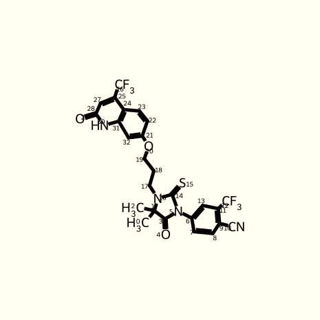 CC1(C)C(=O)N(c2ccc(C#N)c(C(F)(F)F)c2)C(=S)N1CCCOc1ccc2c(C(F)(F)F)cc(=O)[nH]c2c1